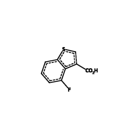 O=C(O)c1csc2cccc(F)c12